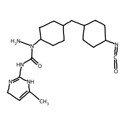 CC1=CCN=C(NC(=O)N(N)C2CCC(CC3CCC(N=C=O)CC3)CC2)N1